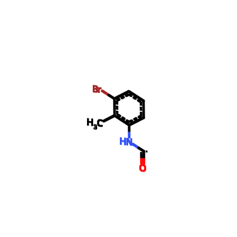 Cc1c(Br)cccc1N[C]=O